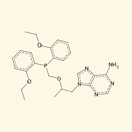 CCOc1ccccc1P(COC(C)Cn1cnc2c(N)ncnc21)c1ccccc1OCC